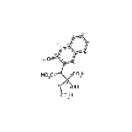 O=C(O)CC(O)(C(=O)O)C(C(=O)O)c1cc2ccccc2oc1=O